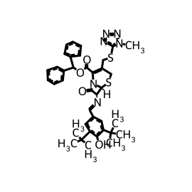 Cn1nnnc1SCC1=C(C(=O)OC(c2ccccc2)c2ccccc2)N2C(=O)[C@@H](N=Cc3cc(C(C)(C)C)c(O)c(C(C)(C)C)c3)[C@@H]2SC1